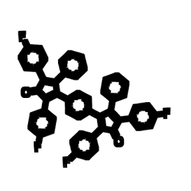 O=C1C(c2ccc(F)cc2)=C(c2ccccc2)C(c2ccc(C3=C(c4ccc(F)cc4)C(=O)C(c4ccc(F)cc4)=C3c3ccccc3)cc2)=C1c1ccc(F)cc1